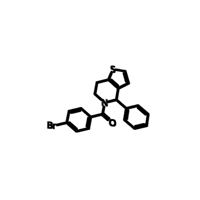 O=C(c1ccc(Br)cc1)N1CCc2sccc2C1c1ccccc1